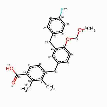 COCOc1ccc(Cc2ccc(C(=O)O)c(C)c2C)cc1Cc1ccc(F)cc1